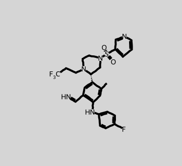 Cc1cc(Nc2ccc(F)cc2)c(C=N)cc1[C@H]1CN(S(=O)(=O)c2cccnc2)CCN1CCC(F)(F)F